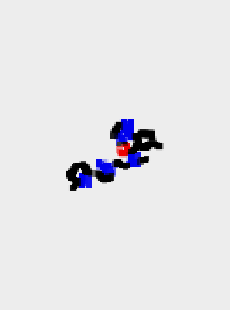 CCN(CCn1ccc(-c2cccc(C)n2)n1)C(=O)c1cc(C)ccc1-n1nccn1